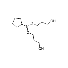 OCCCON(OCCCO)C1CCCC1